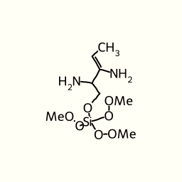 CC=C(N)C(N)CO[Si](OOC)(OOC)OOC